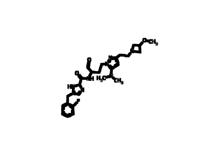 COC1CN(CCc2cc(N(C)C)n(CCC(C=O)NC(=O)C3N=CN(Cc4ccccc4F)N3)n2)C1